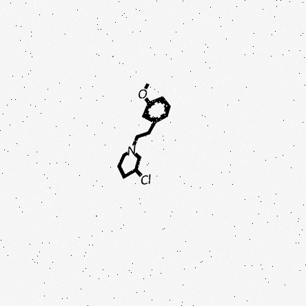 COc1cccc(CCN2CCCC(Cl)C2)c1